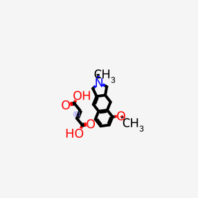 COc1cccc2c1CC1CN(C)CC1=C2.O=C(O)/C=C/C(=O)O